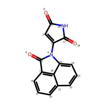 O=C1C=C(N2C(=O)c3cccc4cccc2c34)C(=O)N1